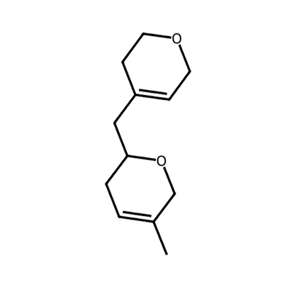 CC1=CCC(CC2=CCOCC2)OC1